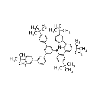 CC(C)(C)c1ccc(-c2cccc(-c3cc(B4c5ccc(C(C)(C)C)cc5-c5cc(C(C)(C)C)cc6c7cc(C(C)(C)C)ccc7n4c56)cc(-c4ccc(C(C)(C)C)cc4)c3)c2)cc1